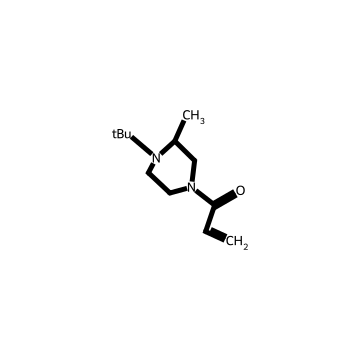 C=CC(=O)N1CCN(C(C)(C)C)C(C)C1